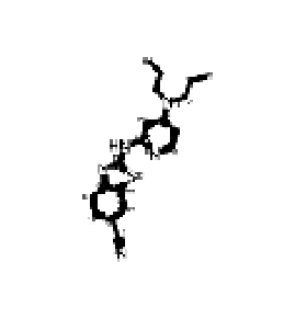 CCCN(CCC)c1ccnc(Nc2nc3ccc(C#N)cc3s2)c1